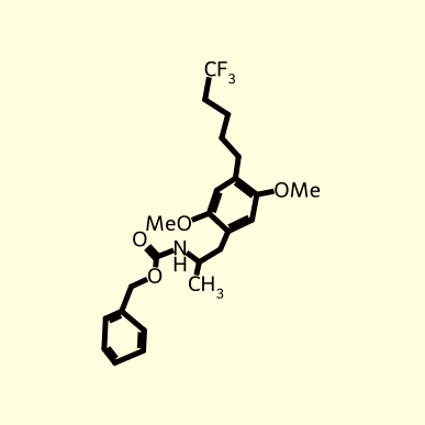 COc1cc(CC(C)NC(=O)OCc2ccccc2)c(OC)cc1CCCCC(F)(F)F